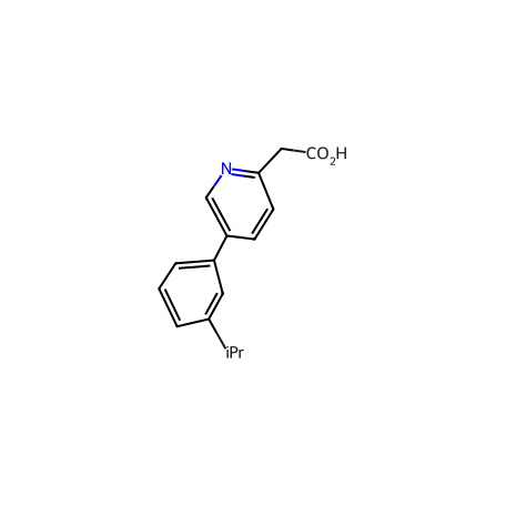 CC(C)c1cccc(-c2ccc(CC(=O)O)nc2)c1